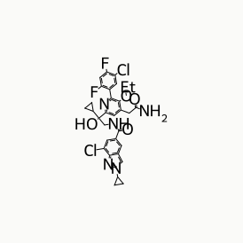 CCOc1c(CC(N)=O)cc([C@@](O)(CNC(=O)c2cc(Cl)c3nn(C4CC4)cc3c2)C2CC2)nc1-c1cc(Cl)c(F)cc1F